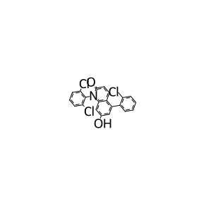 O=c1ccc2c(-c3ccccc3Cl)cc(O)cc2n1-c1c(Cl)cccc1Cl